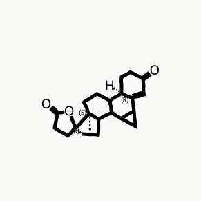 C[C@]12CCC3C(C4CC4C4=CC(=O)CC[C@@H]43)C1CC[C@@]21CCC(=O)O1